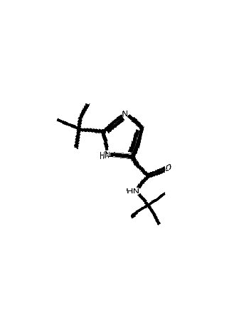 CC(C)(C)NC(=O)c1cnc(C(C)(C)C)[nH]1